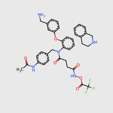 CC(=O)Nc1ccc(CN(C(=O)CCC(=O)NOC(=O)C(F)(F)F)c2ccccc2Oc2cccc(CN)c2)cc1.c1ccc2c(c1)CCNC2